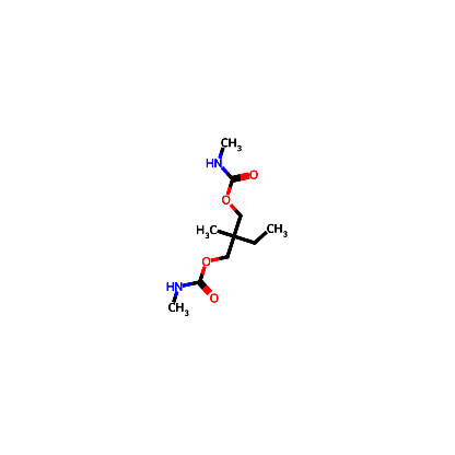 CCC(C)(COC(=O)NC)COC(=O)NC